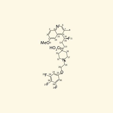 COc1ccc2ncc(C)c([C@@H](F)CCC3(C(=O)O)CCN(CCOc4cc(F)c(F)c(F)c4)CC3)c2c1